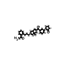 NC(=O)c1ccccc1[CH]CCN1CC2CN(C(=O)c3cccc(N4CCCC4=O)c3)C[C@@H]2C1